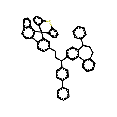 c1ccc(-c2ccc(C(CCc3ccc4c(c3)C3(c5ccccc5Sc5ccccc53)c3c-4ccc4ccccc34)c3ccc4c(c3)-c3ccccc3CCC4c3ccccc3)cc2)cc1